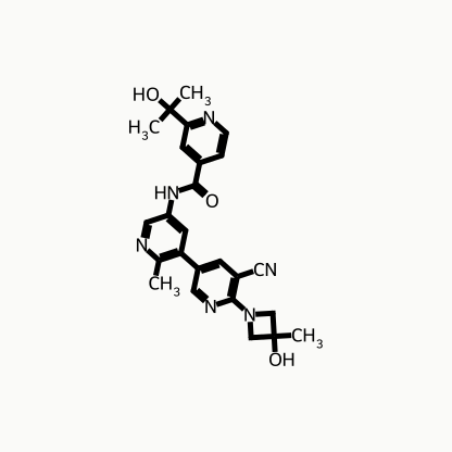 Cc1ncc(NC(=O)c2ccnc(C(C)(C)O)c2)cc1-c1cnc(N2CC(C)(O)C2)c(C#N)c1